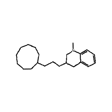 CN1CC(CCCC2CCCCCCCC2)Cc2ccccc21